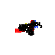 Cc1noc(C#Cc2cc3sc(C4(C(=O)O)CC4)cc3s2)c1NC(=O)O[C@H](C)c1ccccc1